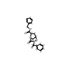 O=C(OCc1ccccc1)C1CC2CN1C(=O)N(C(=O)c1ccccc1)O2